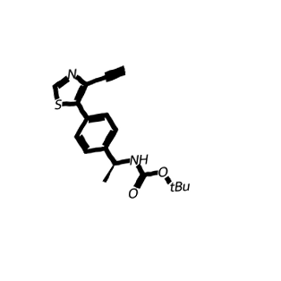 C#Cc1ncsc1-c1ccc([C@H](C)NC(=O)OC(C)(C)C)cc1